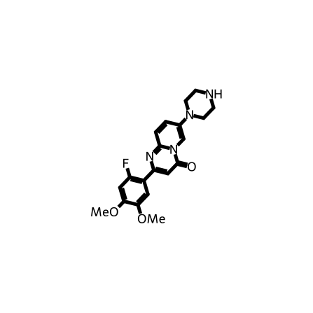 COc1cc(F)c(-c2cc(=O)n3cc(N4CCNCC4)ccc3n2)cc1OC